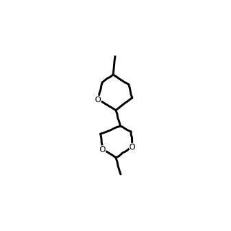 CC1CCC(C2COC(C)OC2)OC1